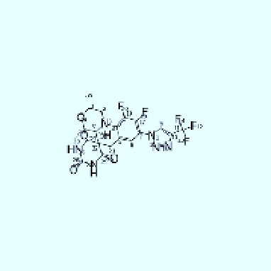 C[C@@H]1CN2c3c(cc(-n4cc(C(F)(F)F)nn4)c(F)c3F)CC3(C(=O)NC(=O)NC3=O)[C@H]2[C@H](C)O1